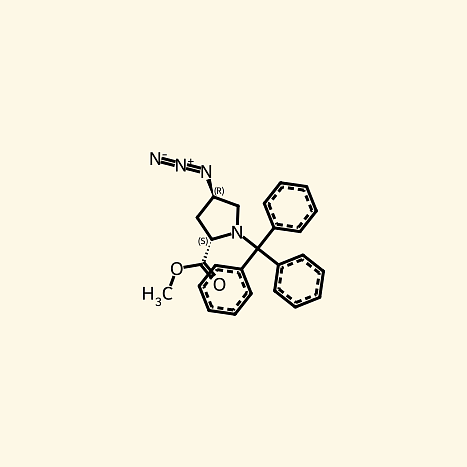 COC(=O)[C@@H]1C[C@@H](N=[N+]=[N-])CN1C(c1ccccc1)(c1ccccc1)c1ccccc1